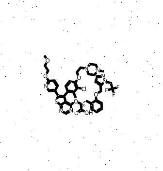 COCCOc1ccc(-c2sc3ncnc(O[C@H](Cc4ccccc4OCc4ccnn4CC(F)(F)F)C(=O)O)c3c2-c2ccc(OCCN3CCN(C)CC3)c(Cl)c2C)cn1